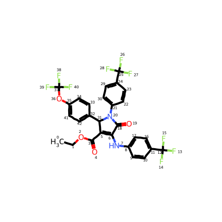 CCOC(=O)C1=C(Nc2ccc(C(F)(F)F)cc2)C(=O)N(c2ccc(C(F)(F)F)cc2)C1c1ccc(OC(F)(F)F)cc1